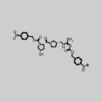 NC(=NC(=O)OCc1ccc([N+](=O)[O-])cc1)NC[C@@H]1CCN(C(=O)[C@@H]2C[C@H](S)CN2C(=O)OCc2ccc([N+](=O)[O-])cc2)C1